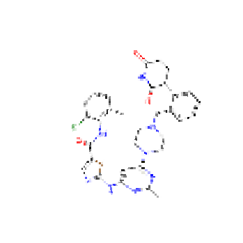 Cc1nc(Nc2ncc(C(=O)Nc3c(C)cccc3Cl)s2)cc(N2CCN(Cc3ccccc3C3CCC(=O)NC3=O)CC2)n1